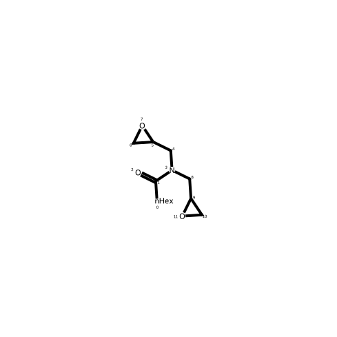 CCCCCCC(=O)N(CC1CO1)CC1CO1